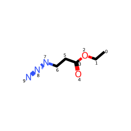 CCOC(=O)CCN=[N+]=[N-]